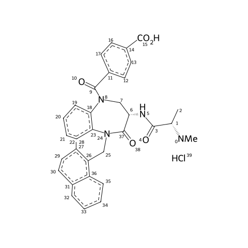 CN[C@@H](C)C(=O)N[C@H]1CN(C(=O)c2ccc(C(=O)O)cc2)c2ccccc2N(Cc2c(C)ccc3ccccc23)C1=O.Cl